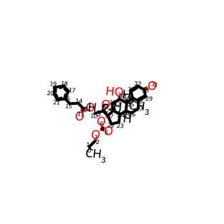 CCCOC(=O)O[C@]1(C(=O)COC(=O)CCc2ccccc2)CC[C@H]2[C@@H]3CCC4=CC(=O)C=C[C@]4(C)[C@H]3C(O)C[C@@]21C